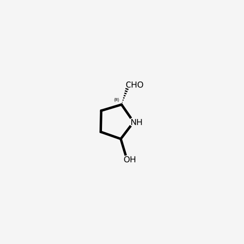 O=C[C@H]1CCC(O)N1